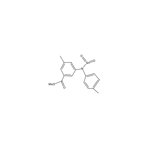 COC(=O)c1cc(C)cc(N(c2ccc(C)cc2)[SH](=O)=O)c1